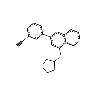 N#Cc1cccc(-c2cc(NC3CCNC3)c3cnccc3c2)c1